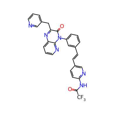 O=C(Nc1ccc(C=Cc2cccc(-n3c(=O)c(Cc4cccnc4)nc4cccnc43)c2)cn1)C(F)(F)F